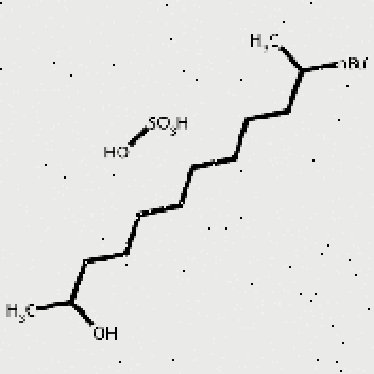 CCCCC(C)CCCCCCCCC(C)O.O=S(=O)(O)O